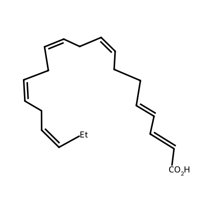 CC/C=C\C/C=C\C/C=C\C/C=C\CC/C=C/C=C/C(=O)O